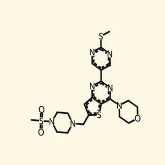 CSc1ncc(-c2nc(N3CCOCC3)c3sc(CN4CCN(S(C)(=O)=O)CC4)cc3n2)cn1